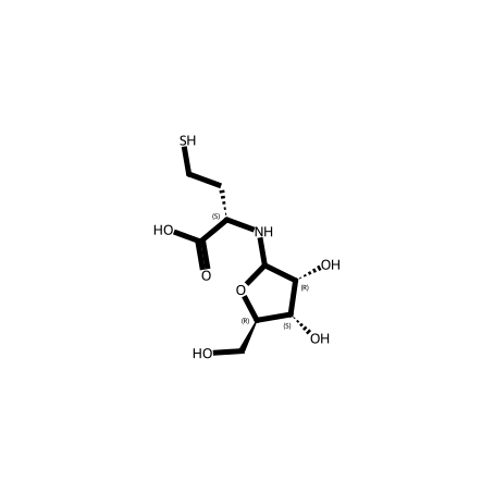 O=C(O)[C@H](CCS)NC1O[C@H](CO)[C@@H](O)[C@H]1O